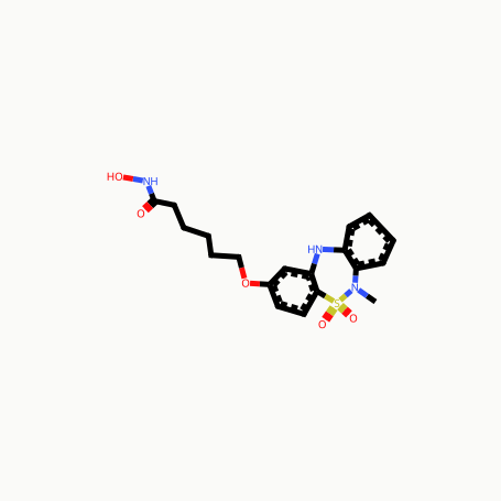 CN1c2ccccc2Nc2cc(OCCCCCC(=O)NO)ccc2S1(=O)=O